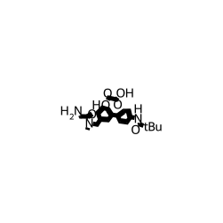 CN(Cc1cccc(-c2ccc(NC(=O)C(C)(C)C)cc2)c1)C(=O)CN.O=C(O)C(=O)O